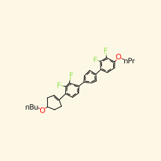 CCCCOC1CC=C(c2ccc(-c3ccc(-c4ccc(OCCC)c(F)c4F)cc3)c(F)c2F)CC1